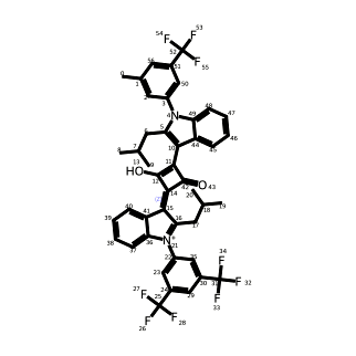 Cc1cc(-n2c(CC(C)C)c(C3=C(O)/C(=C4/C(CC(C)C)=[N+](c5cc(C(F)(F)F)cc(C(F)(F)F)c5)c5ccccc54)C3=O)c3ccccc32)cc(C(F)(F)F)c1